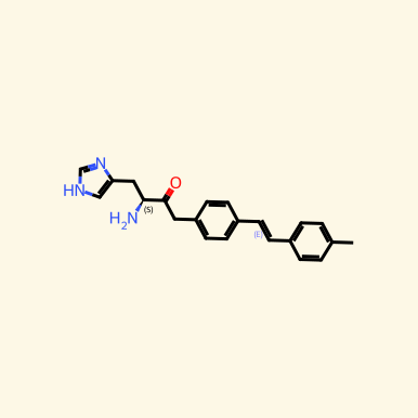 Cc1ccc(/C=C/c2ccc(CC(=O)[C@@H](N)Cc3c[nH]cn3)cc2)cc1